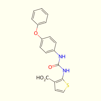 O=C(Nc1ccc(Oc2ccccc2)cc1)Nc1sccc1C(=O)O